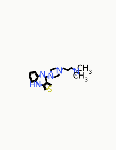 CN(C)CCCN1CCN(C2=Nc3ccccc3Nc3cscc32)CC1